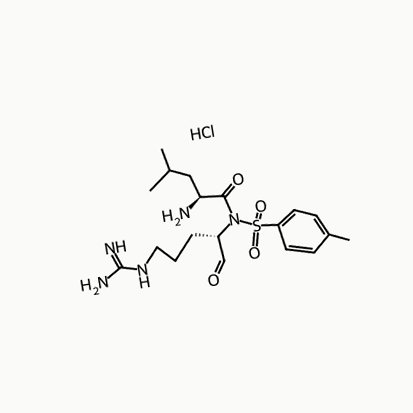 Cc1ccc(S(=O)(=O)N(C(=O)[C@@H](N)CC(C)C)[C@H](C=O)CCCNC(=N)N)cc1.Cl